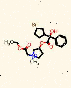 CCOC(=O)C[N+]1(C)CCC(OC(=O)C(O)(c2ccccc2)C2CCCC2)C1.[Br-]